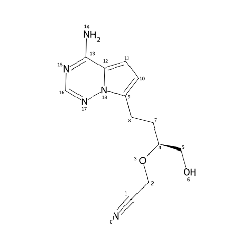 N#CCO[C@H](CO)CCc1ccc2c(N)ncnn12